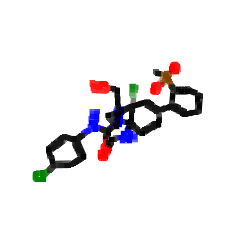 CS(=O)(=O)c1ccccc1C1=C[C@](F)(C2(CO)CC2)[C@@](NC=O)(NC(=O)Nc2ccc(Cl)cc2)C=C1